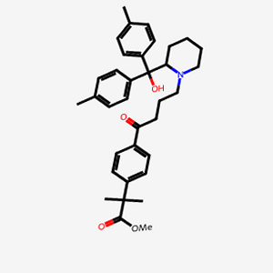 COC(=O)C(C)(C)c1ccc(C(=O)CCCN2CCCCC2C(O)(c2ccc(C)cc2)c2ccc(C)cc2)cc1